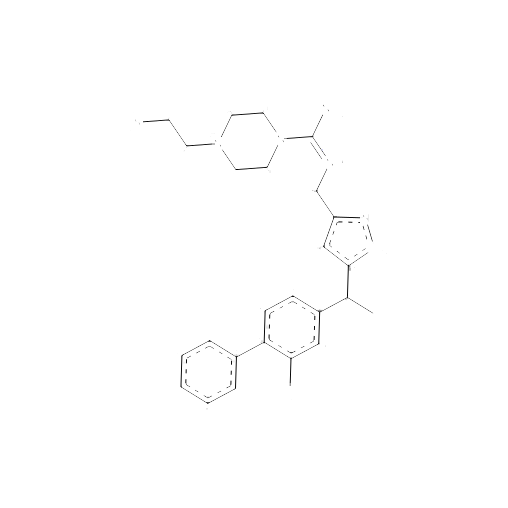 CC(c1ccc(-c2ccccc2)c(F)c1)c1cc(C/N=C(/N)N2CCN(CCN)CC2)no1